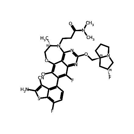 C[C@H]1COc2c(Cl)c(-c3ccc(F)c4sc(N)c(C#N)c34)c(F)c3nc(OC[C@@]45CCCN4C[C@H](F)C5)nc(c23)N1CCC(=O)N(C)C